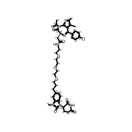 Cc1sc2c(c1C)C(c1ccc(Cl)cc1)=N[C@@H](CC(=O)NCCOCCOCCOCCCc1ccc3c(c1)n(C)c(=O)n3C1CCC(=O)NC1=O)c1nnc(C)n1-2